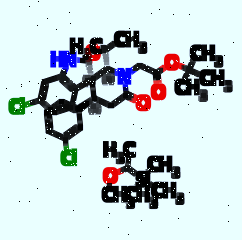 C=C(C)[C@@H]1N(CC(=O)OC(C)(C)C)C(=O)C[C@@H](c2cccc(Cl)c2)[C@]12C(=O)Nc1cc(Cl)ccc12.COC(C)[Si](C)(C)C